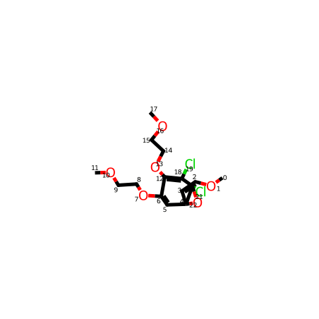 COC=CC12C=C(OCCOC)C(OCCOC)=C(Cl)C1(Cl)O2